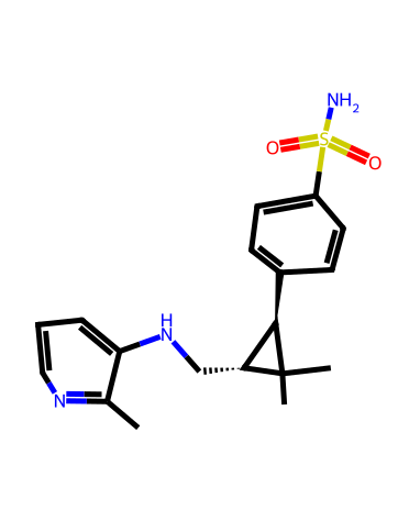 Cc1ncccc1NC[C@@H]1[C@@H](c2ccc(S(N)(=O)=O)cc2)C1(C)C